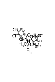 CC(C)(C)N(NC(=O)c1ccc(Cl)c(Cl)c1Cl)C(=O)c1ccccc1[N+](=O)[O-]